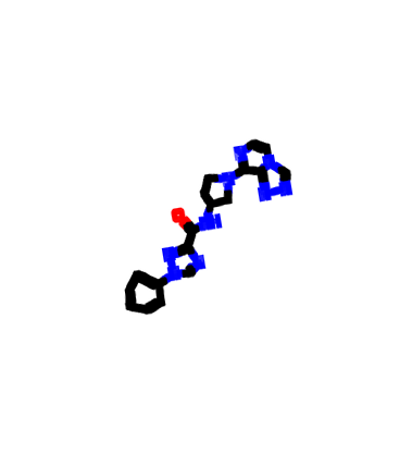 O=C(N[C@H]1CCN(c2nccn3cnnc23)C1)c1ncn(-c2ccccc2)n1